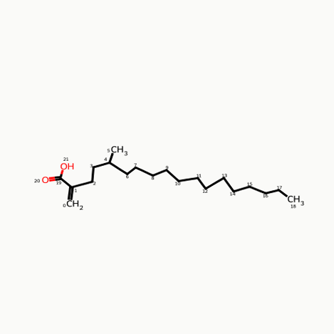 C=C(CCC(C)CCCCCCCCCCCCC)C(=O)O